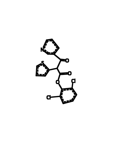 O=C(Oc1c(Cl)cccc1Cl)C(C(=O)c1cccnc1)c1cccs1